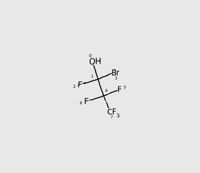 OC(F)(Br)C(F)(F)C(F)(F)F